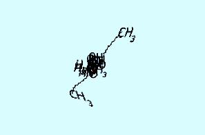 CCCCCCCCCCCCCCCNC(=O)NCC(CNC(=O)NCCCCCCCCCCCCCCC)C(COP(=O)(O)O)[N+](C)(C)C